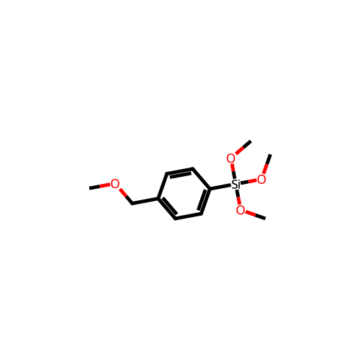 COCc1ccc([Si](OC)(OC)OC)cc1